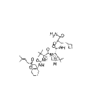 CC(C)CCS(=O)(=O)CC1(NC(=O)N[C@H](C(=O)N2C[C@H]3C([C@H]2C(=O)NC(CC2CCC2)C(=O)C(N)=O)C3(C)C)C(C)(C)C)CCCCC1